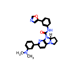 CN(C)c1cccc(-c2ccc3c(n2)N(C(=O)Nc2cccc(-c4cnco4)c2)[C@@H]2CCCN32)c1